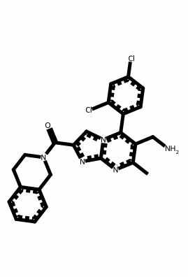 Cc1nc2nc(C(=O)N3CCc4ccccc4C3)cn2c(-c2ccc(Cl)cc2Cl)c1CN